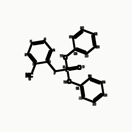 N#Cc1ccccc1CP(=O)(Oc1ccccc1)Oc1ccccc1